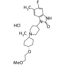 COCCO[C@H]1CC[C@](C)(N2CCC(n3c(=O)[nH]c4cc(F)c(C)cc43)CC2)CC1.Cl